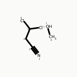 CO.N#CCC(Cl)Cl